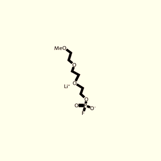 COCCOCCOCCOP(=O)([O-])F.[Li+]